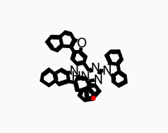 C1=Cc2cc3c(cc2CC1)c1cc2ccccc2cc1n3-c1cc2c(cc1C1=NC(n3c4ccccc4c4ccccc43)=NC(c3ccccc3)N1)oc1ccc3ccccc3c12